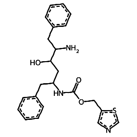 NC(Cc1ccccc1)C(O)CC(Cc1ccccc1)NC(=O)OCc1cncs1